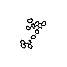 c1ccc(-c2nc3c4c(-c5ccc(-c6ccc(-c7nc(-c8cccc9ccccc89)c8ccccc8n7)cc6)cc5)nc5ccccc5c4ccc3n2-c2ccccc2)cc1